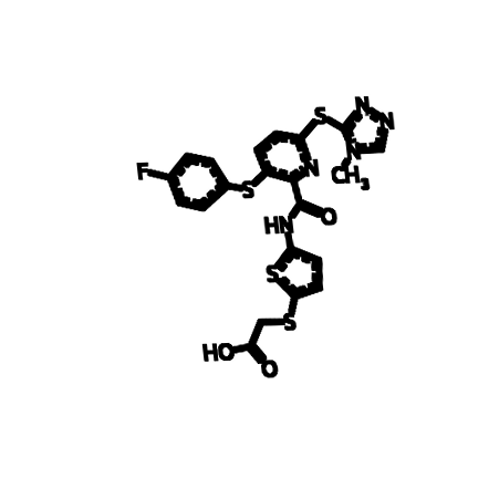 Cn1cnnc1Sc1ccc(Sc2ccc(F)cc2)c(C(=O)Nc2ccc(SCC(=O)O)s2)n1